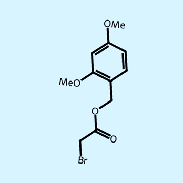 COc1ccc(COC(=O)CBr)c(OC)c1